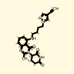 C#Cc1cnn(CCCCNc2cccc3nc(C)n(C4CCC(=O)NC4=O)c(=O)c23)c1